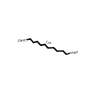 CCCCCCCCCCCCCCCCCC=O.[Cu]